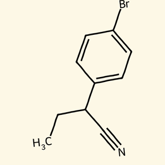 CCC(C#N)c1ccc(Br)cc1